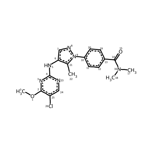 COc1nc(Nc2cnn(-c3ccc(C(=O)N(C)C)cc3)c2C)ncc1Cl